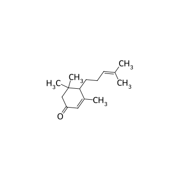 CC(C)=CCCC1C(C)=CC(=O)CC1(C)C